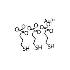 O=S(=O)([O-])CCCS.O=S(=O)([O-])CCCS.O=S(=O)([O-])CCCS.[Au+3]